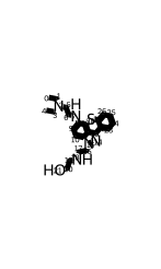 CCN(CC)CCNc1ccc2c3c(nn2CCNCCO)-c2ccccc2Sc13